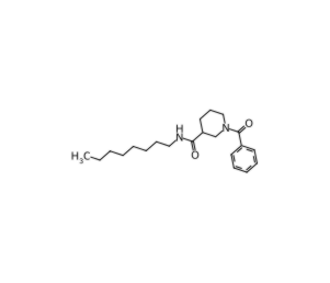 CCCCCCCCNC(=O)C1CCCN(C(=O)c2ccccc2)C1